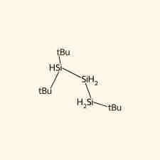 CC(C)(C)[SiH2][SiH2][SiH](C(C)(C)C)C(C)(C)C